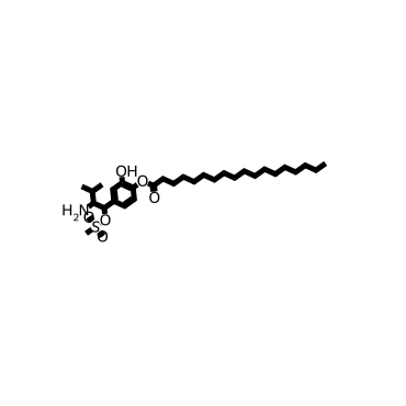 CCCCCCCCCCCCCCCCCC(=O)Oc1ccc(C(OS(C)(=O)=O)C(N)C(C)C)cc1O